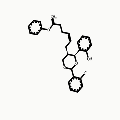 C=C(CC/C=C\C[C@@H]1COC(c2ccccc2Cl)O[C@@H]1c1ccccc1O)Oc1ccccc1